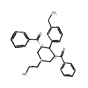 CCc1cccc(C2[C@@H](C(=O)c3ccccc3)CN(CCO)C[C@@H]2C(=O)c2ccccc2)c1